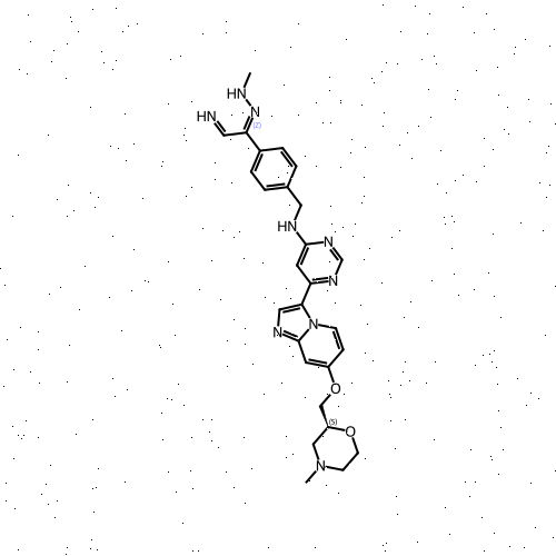 CN/N=C(\C=N)c1ccc(CNc2cc(-c3cnc4cc(OC[C@@H]5CN(C)CCO5)ccn34)ncn2)cc1